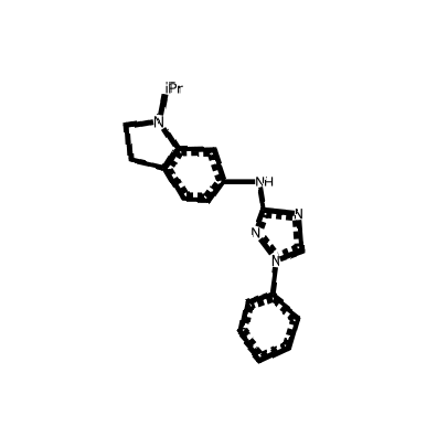 CC(C)N1CCc2ccc(Nc3ncn(-c4ccccc4)n3)cc21